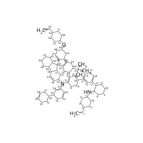 C=CC1CCC(NC2CCCCC2C2=CCCC(C3CC=C(N(C4=CC(C5CC=CCC5)CC=C4)C4C=CC5C6CCCCC6C(C6=CCC(OC7CCC(C=C)CC7)CC6)(C6=CCC(C(C)(C)C)CC6)C5C4)CC3)=C2)CC1